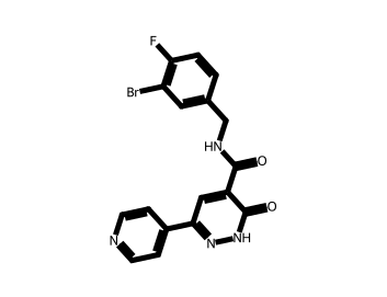 O=C(NCc1ccc(F)c(Br)c1)c1cc(-c2ccncc2)n[nH]c1=O